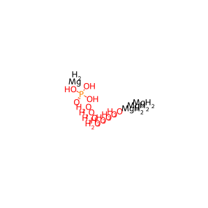 O.O.O.O.O.O.O.O.O=P(O)(O)O.[MgH2].[MgH2].[MgH2].[MgH2]